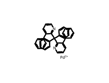 [Pd+2].c1ccc(-c2cccnc2C(c2ccccc2)(c2ccccc2)c2ncccc2-c2ccccc2)cc1